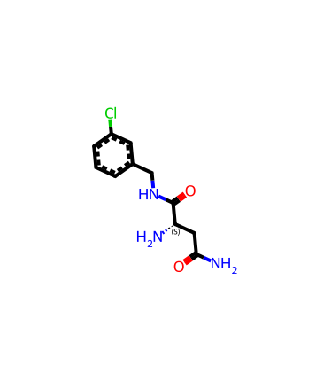 NC(=O)C[C@H](N)C(=O)NCc1cccc(Cl)c1